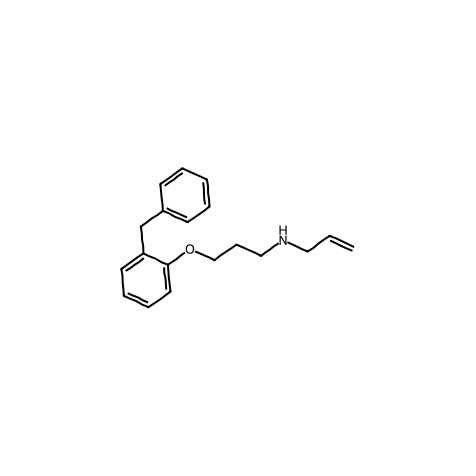 C=CCNCCCOc1ccccc1Cc1ccccc1